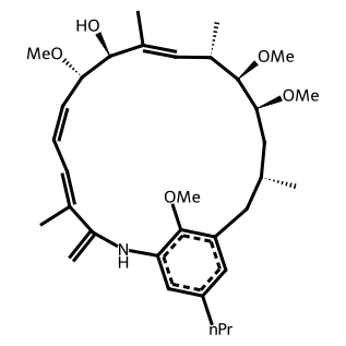 C=C1Nc2cc(CCC)cc(c2OC)C[C@@H](C)C[C@H](OC)[C@H](OC)[C@@H](C)/C=C(\C)[C@H](O)[C@@H](OC)/C=C\C=C\1C